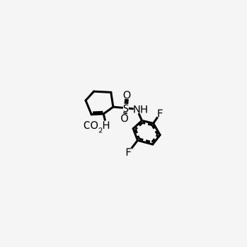 O=C(O)C1=CCCCC1S(=O)(=O)Nc1cc(F)ccc1F